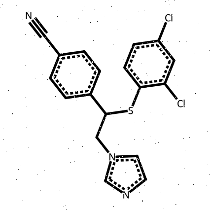 N#Cc1ccc(C(Cn2ccnc2)Sc2ccc(Cl)cc2Cl)cc1